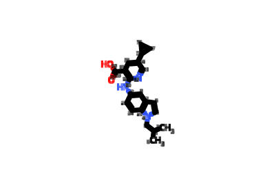 CC(C)Cn1ccc2cc(Nc3ncc(C4CC4)cc3C(=O)O)ccc21